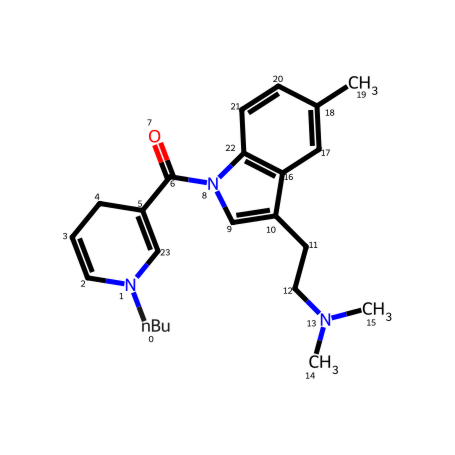 CCCCN1C=CCC(C(=O)n2cc(CCN(C)C)c3cc(C)ccc32)=C1